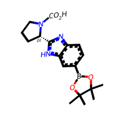 CC1(C)OB(c2ccc3nc([C@@H]4CCCN4C(=O)O)[nH]c3c2)OC1(C)C